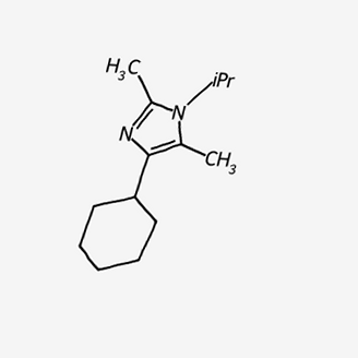 Cc1nc(C2CCCCC2)c(C)n1C(C)C